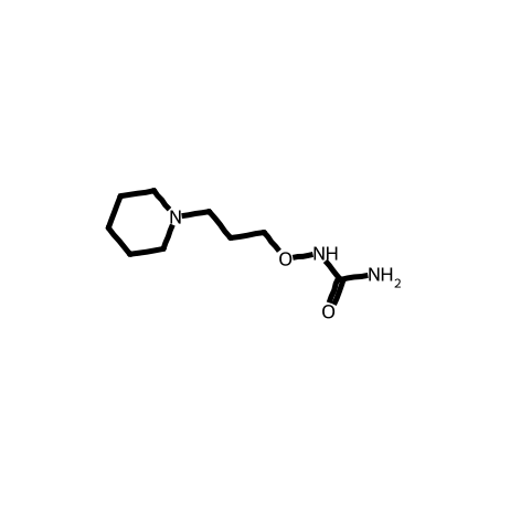 NC(=O)NOCCCN1CCCCC1